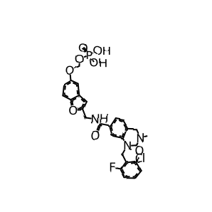 CN1Cc2ccc(C(=O)NCc3cc4cc(OCOP(=O)(O)O)ccc4o3)cc2N(Cc2c(F)cccc2Cl)C1=O